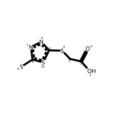 O=C(O)CSc1nnc([S])s1